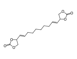 O=C1OCC(/C=C/CCCCCC/C=C/C2COC(=O)O2)O1